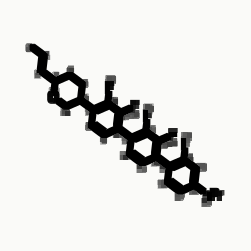 C/C=C/C1CCC(c2ccc(-c3ccc(-c4ccc(CCC)cc4F)c(F)c3F)c(F)c2F)CO1